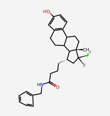 C[C@]12CCC3c4ccc(O)cc4CCC3C1[C@@H](CCCC(=O)NCc1ccccc1)CC2(F)F